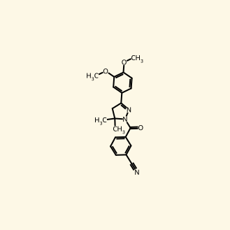 COc1ccc(C2=NN(C(=O)c3cccc(C#N)c3)C(C)(C)C2)cc1OC